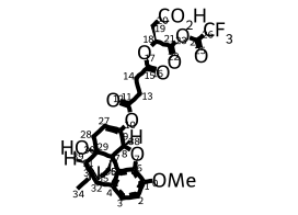 COc1ccc2c3c1O[C@H]1C(OC(=O)CCC(=O)O[C@@H](CC(=O)O)C(=O)OC(=O)C(F)(F)F)=CC[C@@]4(O)[C@@H](C2)N(C)CC[C@]314